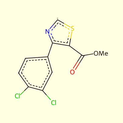 COC(=O)c1s[c]nc1-c1ccc(Cl)c(Cl)c1